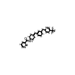 O=C(NC1CCC(=Cc2cccc(Cc3ccc(C(F)(F)F)cn3)c2)CC1)c1cccnn1